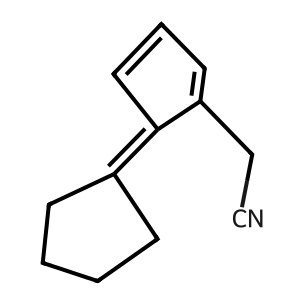 N#CCC1=CC=CC1=C1CCCC1